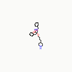 O=C(O)C(CNCc1ccccc1)(Cc1ccccc1)OCCCCC1CCNCC1